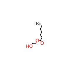 CC(C)(C)CCCCCC(=O)OCCO